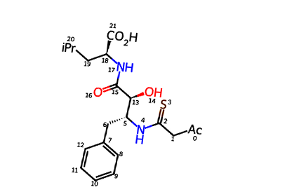 CC(=O)CC(=S)N[C@H](Cc1ccccc1)[C@H](O)C(=O)N[C@@H](CC(C)C)C(=O)O